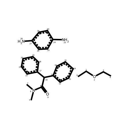 CCOCC.CN(C)C(=O)C(c1ccccc1)c1ccccc1.Nc1ccc(N)cc1